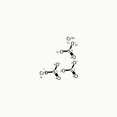 O=S([O-])[O-].O=S([O-])[O-].O=S([O-])[O-].[Cr+3].[Cr+3]